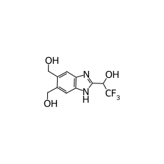 OCc1cc2nc(C(O)C(F)(F)F)[nH]c2cc1CO